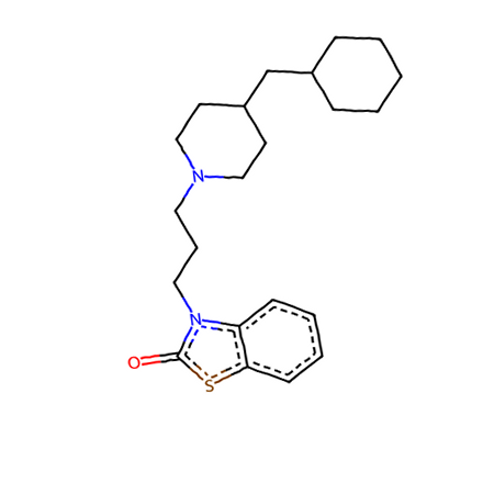 O=c1sc2ccccc2n1CCCN1CCC(CC2CCCCC2)CC1